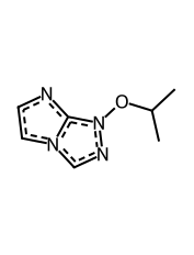 CC(C)On1ncn2ccnc12